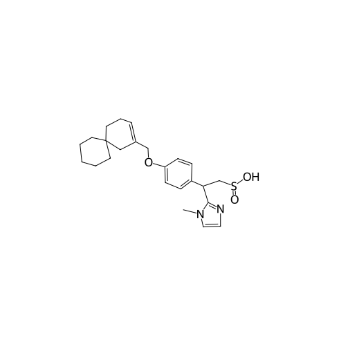 Cn1ccnc1C(CS(=O)O)c1ccc(OCC2=CCCC3(CCCCC3)C2)cc1